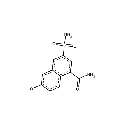 NC(=O)c1cc(S(N)(=O)=O)cc2cc([O])ccc12